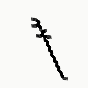 O=C(OCC(O)CO)C(O)C(O)CCCCCCCCCCCCCCCO